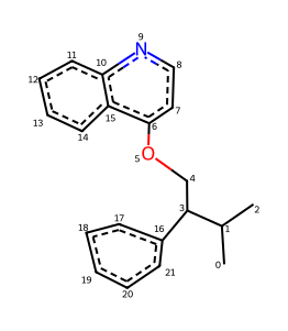 CC(C)C(COc1ccnc2ccccc12)c1ccccc1